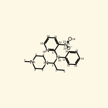 CCC(N1CCN(C)CC1)N(c1ccccc1)c1ncccc1[N+](=O)[O-]